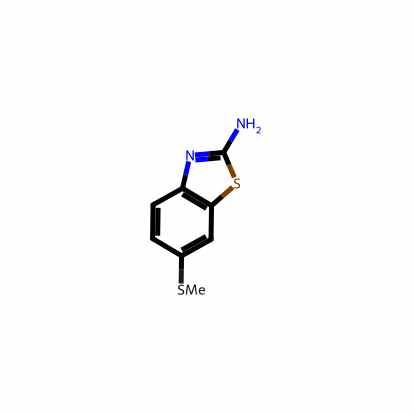 CSc1ccc2nc(N)sc2c1